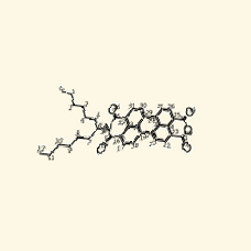 CCCCCCC(CCCCCC)N1C(=O)c2ccc3c4ccc5c6c(ccc(c7ccc(c2c37)C1=O)c64)C(=O)OC5=O